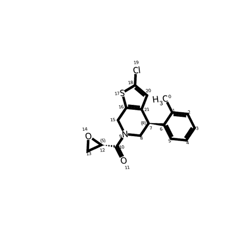 Cc1ccccc1[C@H]1CN(C(=O)[C@@H]2CO2)Cc2sc(Cl)cc21